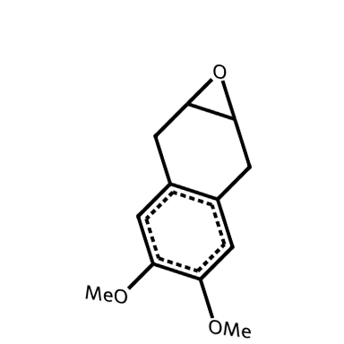 COc1cc2c(cc1OC)CC1OC1C2